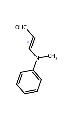 CN(/C=C/C=O)c1ccccc1